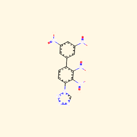 O=[N+]([O-])c1cc(-c2ccc(-n3cnnn3)c([N+](=O)[O-])c2[N+](=O)[O-])cc([N+](=O)[O-])c1